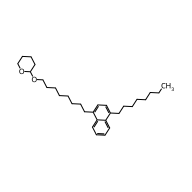 CCCCCCCCc1ccc(CCCCCCCCOC2CCCCO2)c2ccccc12